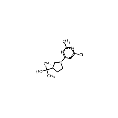 Cc1nc(Cl)cc(N2CCC(C(C)(C)O)C2)n1